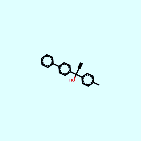 C#CC(O)(c1ccc(C)cc1)c1ccc(-c2ccccc2)cc1